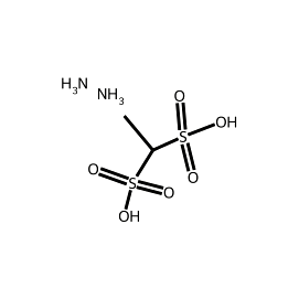 CC(S(=O)(=O)O)S(=O)(=O)O.N.N